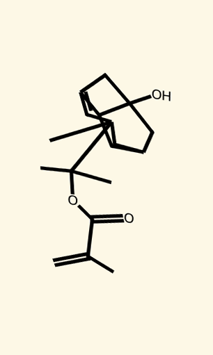 C=C(C)C(=O)OC(C)(C)C1(C)C=C2CC3(O)CC(CC23)C1